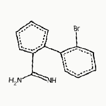 N=C(N)c1ccccc1-c1ccccc1Br